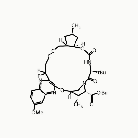 COc1ccc2nc3c(nc2c1)O[C@H]1CN(C(=O)[C@H](C(C)(C)C)NC(=O)O[C@@H]2C[C@H](C)C[C@H]2CCCCC3(F)F)[C@H](C(=O)OCC(C)C)[C@@H]1C